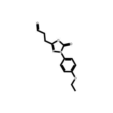 CCOc1ccc(-n2nc(CCC=O)oc2=O)cc1